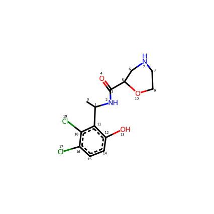 CC(NC(=O)C1CNCCO1)c1c(O)ccc(Cl)c1Cl